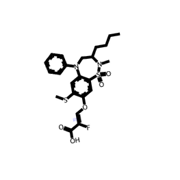 CCCCC1CN(c2ccccc2)c2cc(SC)c(O/C=C(\F)C(=O)O)cc2S(=O)(=O)N1C